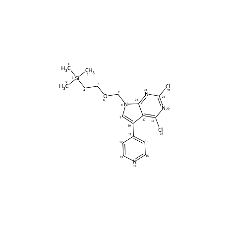 C[Si](C)(C)CCOCn1cc(-c2ccncc2)c2c(Cl)nc(Cl)nc21